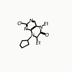 CCC1C(=O)N(CC)c2cnc(Cl)nc2N1C1CCCC1